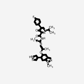 C=N/C(=N\C=C(/C)Oc1cc2cnn(C)c2cc1-c1cn[nH]c1)NC(=O)c1nn(C(C)C)cc(-c2ccc(F)cc2)c1=O